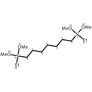 CC[Si](CCCCCCC[Si](CC)(OC)OC)(OC)OC